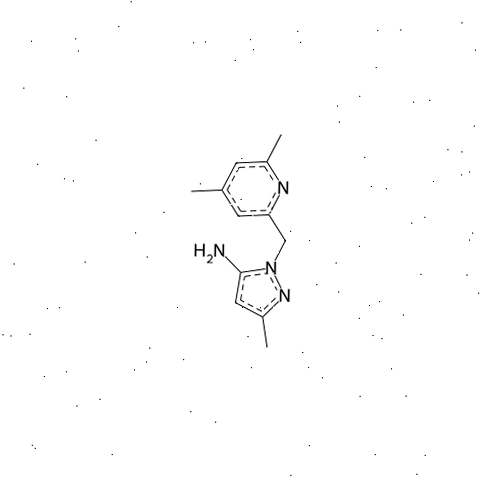 Cc1cc(C)nc(Cn2nc(C)cc2N)c1